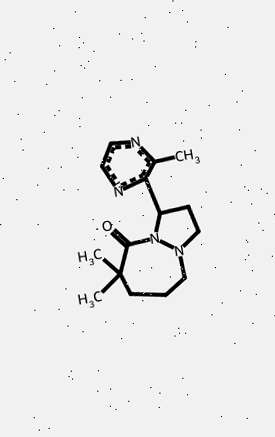 Cc1nccnc1C1CCN2CCCC(C)(C)C(=O)N12